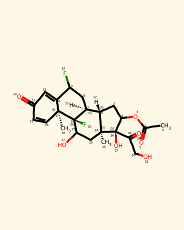 CC(=O)OC1C[C@H]2[C@@H]3CC(F)C4=CC(=O)C=C[C@]4(C)[C@@]3(F)C(O)C[C@]2(C)[C@@]1(O)C(=O)CO